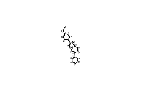 COc1ccc(-c2cn3cc(-c4ccccc4)ccc3n2)cc1